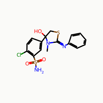 CN1C(=Nc2ccccc2)SCC1(O)c1ccc(Cl)c(S(N)(=O)=O)c1